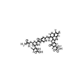 CC[C@@]1(O)C(=O)OCc2c1cc1n(c2=O)Cc2c-1nc1cc(F)c(C)c3c1c2[C@@H](NCc1ccc(NC(=O)C(CCCNC(N)=O)NC(=O)C(NC(=O)O)C(C)C)cn1)CC3